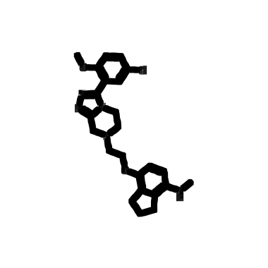 CNc1ccc(OCCN2CCn3c(nnc3-c3cc(Cl)ccc3OC)C2)c2c1CCC2